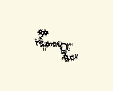 CC(=O)N1CCC(n2nnc3c(F)cc(/C=C(\C)[C@H]4OC(=O)C[C@H](O)CC[C@H](C)[C@@H](OC(=O)N5CC[N+](C)(Cc6ccc(NC(=O)C(C)NC(=O)C(NC(=O)OCC7c8ccccc8-c8ccccc87)C(C)C)cc6)CC5)/C=C/[C@@H]4C)cc32)CC1